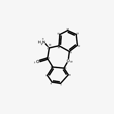 N[C@@H]1C(=O)c2ccccc2Oc2ccccc21